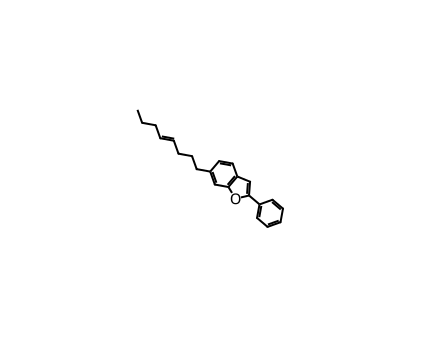 CCC/C=C/CCCc1ccc2cc(-c3ccccc3)oc2c1